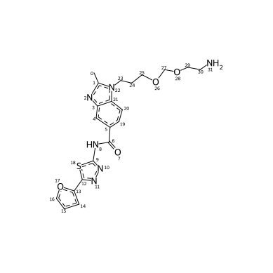 Cc1nc2cc(C(=O)Nc3nnc(-c4ccco4)s3)ccc2n1CCCOCOCCN